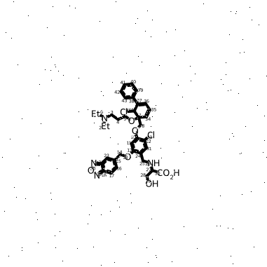 CCN(CC)CCCOC1(COc2cc(OCc3ccc4nonc4c3)c(CNC(CO)C(=O)O)cc2Cl)C=CC=C(c2ccccc2)C1Cl